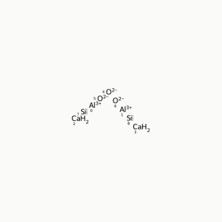 [Al+3].[Al+3].[CaH2].[CaH2].[O-2].[O-2].[O-2].[Si].[Si]